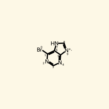 Brc1ncnc2c1NC=[N+]2